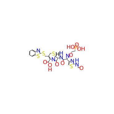 O=CNc1nc(C(=NOCCP(=O)(O)O)C(=O)NC2C(=O)N3C(C(=O)O)=C(CSc4nc5ccccc5s4)CS[C@@H]23)cs1